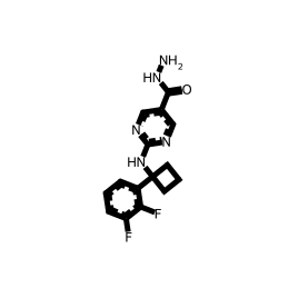 NNC(=O)c1cnc(NC2(c3cccc(F)c3F)CCC2)nc1